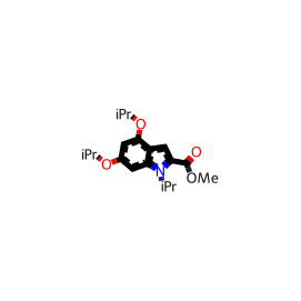 COC(=O)c1cc2c(OC(C)C)cc(OC(C)C)cc2n1C(C)C